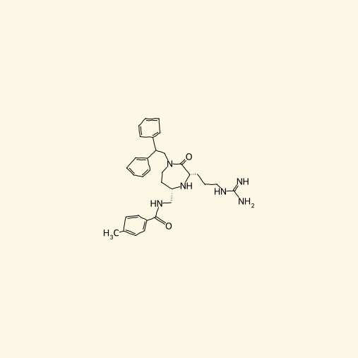 Cc1ccc(C(=O)NC[C@@H]2CCN(CC(c3ccccc3)c3ccccc3)C(=O)[C@H](CCCNC(=N)N)N2)cc1